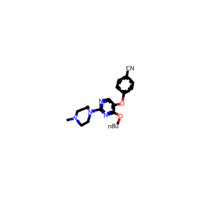 CCCCOc1nc(N2CCN(C)CC2)ncc1Oc1ccc(C#N)cc1